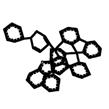 C1=CC(c2ccccc2)CC=C1N(c1cccc2c1C1(c3ccccc3-2)c2ccccc2-c2c(-c3ccccc3)cccc21)c1cccc2c1oc1ccccc12